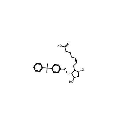 CC(C)(c1ccccc1)c1ccc(OC[C@@H]2[C@@H](C/C=C\CCCC(=O)O)[C@H](Cl)C[C@H]2O)cc1